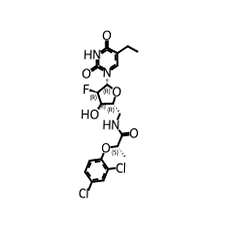 CCc1cn([C@@H]2O[C@H](CNC(=O)[C@H](C)Oc3ccc(Cl)cc3Cl)[C@@H](O)[C@H]2F)c(=O)[nH]c1=O